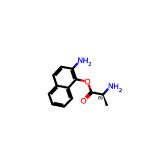 C[C@H](N)C(=O)Oc1c(N)ccc2ccccc12